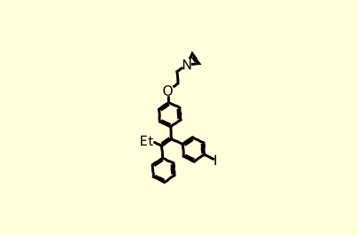 CC/C(=C(/c1ccc(I)cc1)c1ccc(OCCN2C=C2)cc1)c1ccccc1